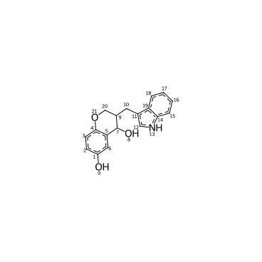 Oc1ccc2c(c1)C(O)C(Cc1c[nH]c3ccccc13)CO2